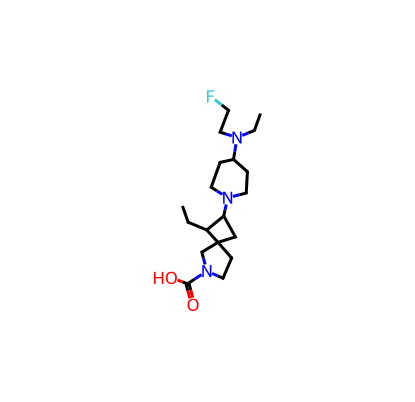 CCC1C(N2CCC(N(CC)CCF)CC2)CC12CCN(C(=O)O)C2